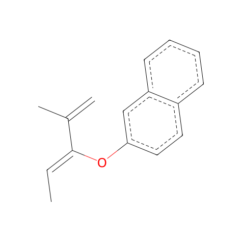 C=C(C)/C(=C/C)Oc1ccc2ccccc2c1